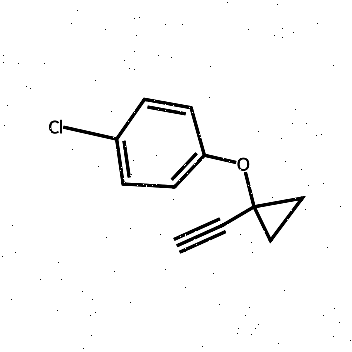 C#CC1(Oc2ccc(Cl)cc2)CC1